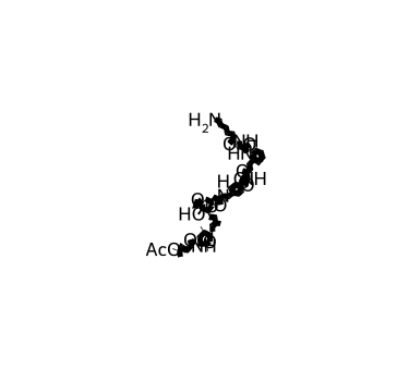 CC(=O)O[C@@H](C)C=CC(=O)N[C@@H]1C[C@H](C)[C@H](CC=C(C)C=C[C@H]2O[C@H](CC(=O)NCc3ccc(S(=O)(=O)NC(=O)CCc4ccccc4NC(=O)CNC(=O)CCCCCN)cc3)C[C@@]3(CO3)[C@@H]2O)O[C@@H]1C